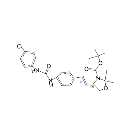 CC(C)(C)OC(=O)N1[C@@H](/C=C/c2ccc(NC(=O)Nc3ccc(Cl)cc3)cc2)COC1(C)C